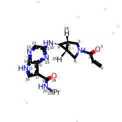 C=CC(=O)N1C[C@@H]2[C@H](C1)[C@@H]2Nc1cnc2[nH]cc(C(=O)NC(C)C)c2n1